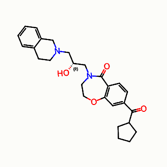 O=C(c1ccc2c(c1)OCCN(C[C@H](O)CN1CCc3ccccc3C1)C2=O)C1CCCC1